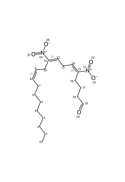 CCCCCCCC/C=C\C/C(=C\C/C=C(\CCC[C]=O)[N+](=O)[O-])[N+](=O)[O-]